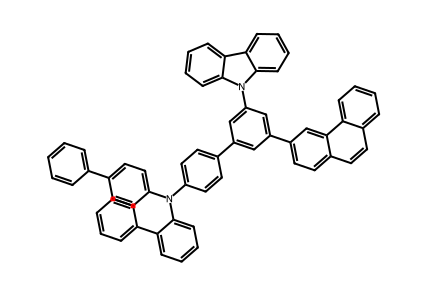 c1ccc(-c2ccc(N(c3ccc(-c4cc(-c5ccc6ccc7ccccc7c6c5)cc(-n5c6ccccc6c6ccccc65)c4)cc3)c3ccccc3-c3ccccc3)cc2)cc1